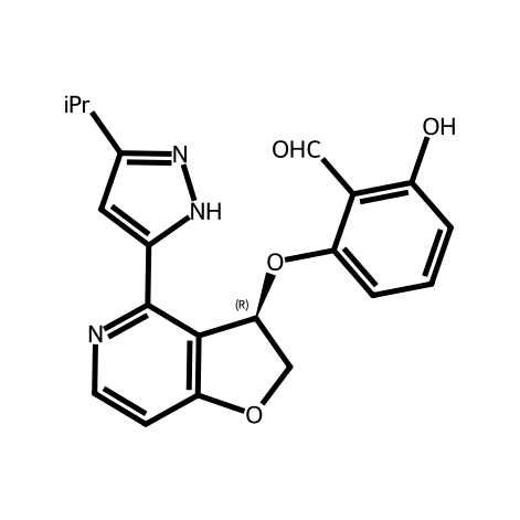 CC(C)c1cc(-c2nccc3c2[C@@H](Oc2cccc(O)c2C=O)CO3)[nH]n1